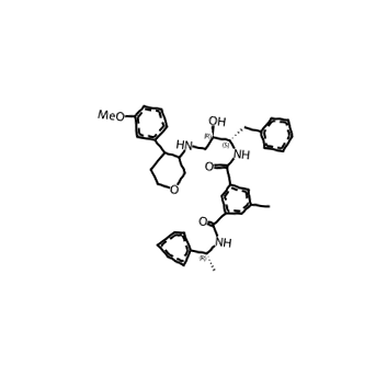 COc1cccc(C2CCOCC2NC[C@@H](O)[C@H](Cc2ccccc2)NC(=O)c2cc(C)cc(C(=O)N[C@H](C)c3ccccc3)c2)c1